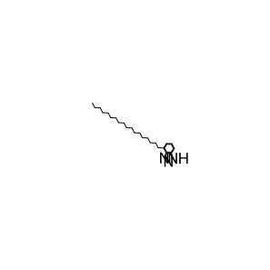 CCCCCCCCCCCCCCCCCCc1cccc2[nH]nnc12